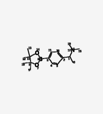 CC(c1ccc(B2OC(C)(C)C(C)(C)O2)cc1)N(C)C